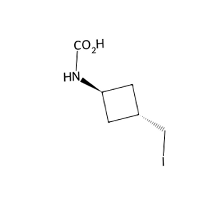 O=C(O)N[C@H]1C[C@H](CI)C1